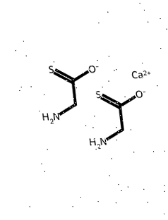 NCC([O-])=S.NCC([O-])=S.[Ca+2]